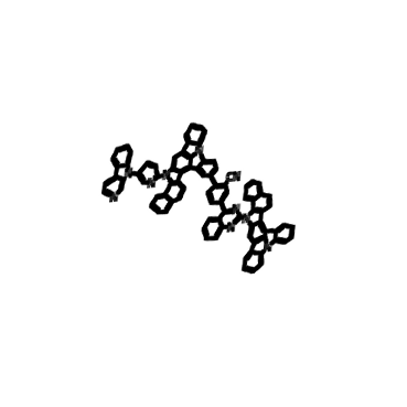 N#Cc1cc(-c2nc(-n3c4cc5c6ccccc6n6c7ccccc7c(c4c4ccc7ccccc7c43)c56)nc3ccccc23)ccc1-c1ccc2c(c1)c1c3c4ccc5ccccc5c4n(-c4ccc(-n5c6ccccc6c6ccncc65)cn4)c3cc3c4ccccc4n2c31